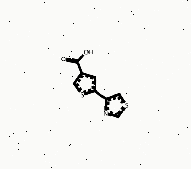 O=C(O)c1csc(-c2cs[c]n2)c1